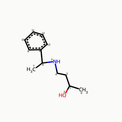 CC(O)CCNC(C)c1ccccc1